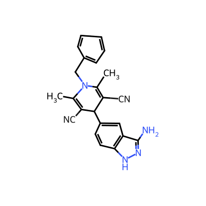 CC1=C(C#N)C(c2ccc3[nH]nc(N)c3c2)C(C#N)=C(C)N1Cc1ccccc1